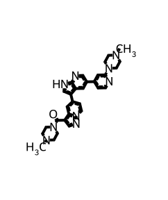 CN1CCN(C(=O)c2cnn3ccc(-c4c[nH]c5ncc(-c6ccnc(N7CCN(C)CC7)c6)cc45)cc23)CC1